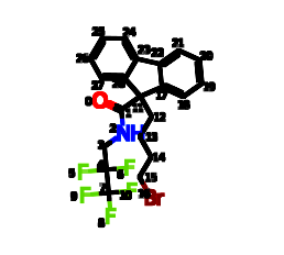 O=C(NCC(F)(F)C(F)(F)F)C1(CCCCBr)c2ccccc2-c2ccccc21